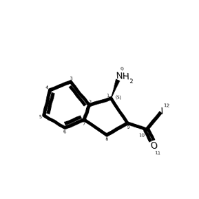 N[C@@H]1c2ccccc2CC1C(=O)I